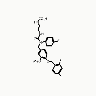 COc1cc(CN(C(=O)NCCNC(=O)O)c2ccc(F)cc2)ccc1OCc1ccc(F)cc1F